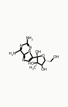 C[C@@]1(O)[C@H](O)[C@@H](CO)O[C@@]1(O)c1cnc2c(N)nc(N)nn12